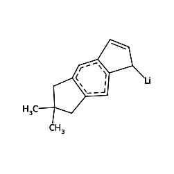 [Li][CH]1C=Cc2cc3c(cc21)CC(C)(C)C3